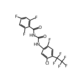 O=C(NC(=O)c1c(F)cc(F)cc1F)Nc1cc(Cl)c(C(F)(F)C(F)(F)F)cc1F